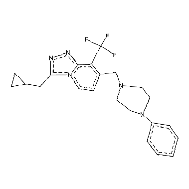 FC(F)(F)c1c(CN2CCN(c3ccccc3)CC2)ccn2c(CC3CC3)nnc12